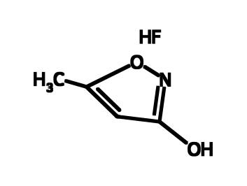 Cc1cc(O)no1.F